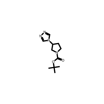 CC(C)(C)OC(=O)N1CCC(n2cnnc2)C1